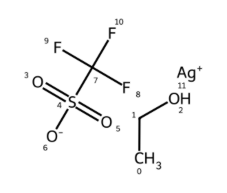 CCO.O=S(=O)([O-])C(F)(F)F.[Ag+]